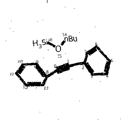 C(#Cc1ccccc1)c1ccccc1.CCCCO[SiH3]